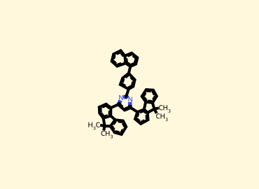 CC1(C)c2ccccc2-c2c(-c3cc(-c4cccc5c4-c4ccccc4C5(C)C)nc(-c4ccc(-c5cccc6ccccc56)cc4)n3)cccc21